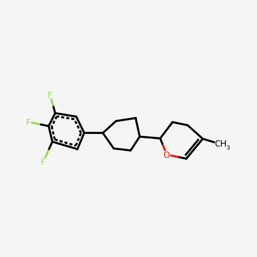 CC1=COC(C2CCC(c3cc(F)c(F)c(F)c3)CC2)CC1